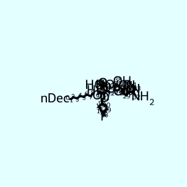 CCCCCCCCCCCCCCCCCCOCC(OCc1ccc(F)cc1)C(C[C@H]1O[C@@](C#N)(c2ccc3c(N)ncnn23)[C@H](O)[C@@H]1O)OP(=O)(O)O